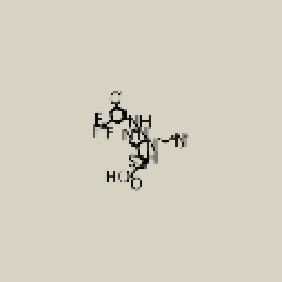 COc1cc(Nc2ncc(-c3ccc(C(=O)O)s3)c(NCCCN(C)C)n2)cc(C(F)(F)F)c1